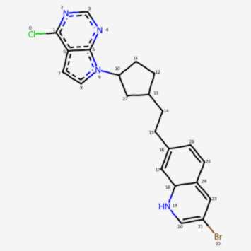 Clc1ncnc2c1ccn2C1CCC(CCC2=CC3NC=C(Br)C=C3C=C2)C1